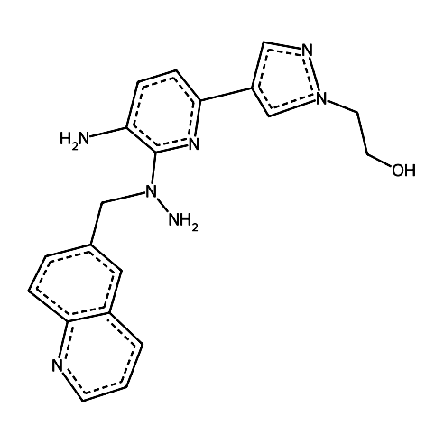 Nc1ccc(-c2cnn(CCO)c2)nc1N(N)Cc1ccc2ncccc2c1